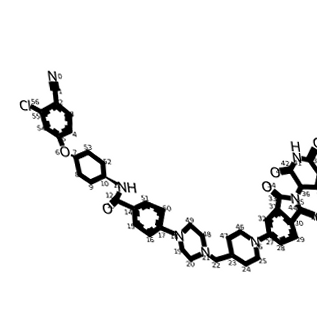 N#Cc1ccc(O[C@H]2CC[C@H](NC(=O)c3ccc(N4CCN(CC5CCN(c6ccc7c(c6)C(=O)N(C6CCC(=O)NC6=O)C7=O)CC5)CC4)cc3)CC2)cc1Cl